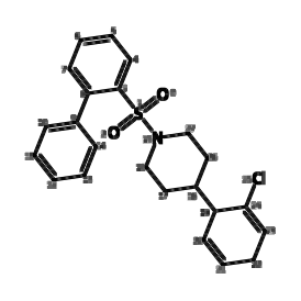 O=S(=O)(c1ccccc1-c1ccccc1)N1CCC(C2C=CCC=C2Cl)CC1